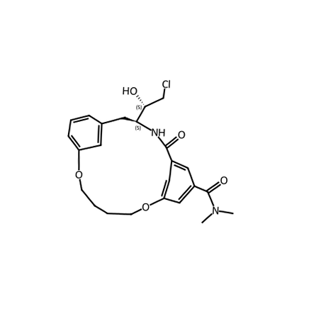 CN(C)C(=O)c1cc2cc(c1)C(=O)N[C@H]([C@H](O)CCl)Cc1cccc(c1)OCCCCO2